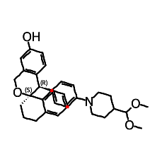 COC(OC)C1CCN(c2ccc([C@@H]3c4ccc(O)cc4CO[C@@]34CCCc3ccccc34)cc2)CC1